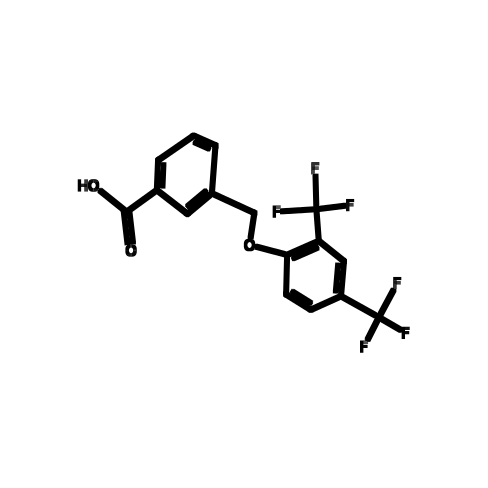 O=C(O)c1cccc(COc2ccc(C(F)(F)F)cc2C(F)(F)F)c1